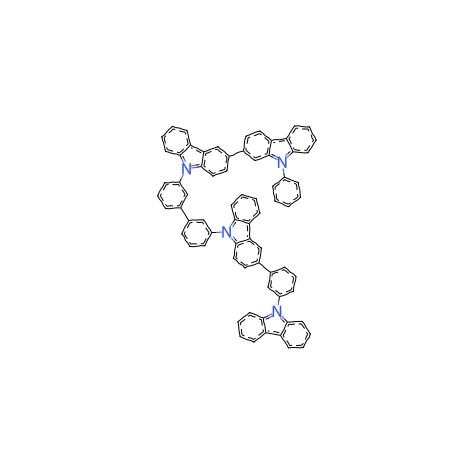 c1ccc(-n2c3ccccc3c3ccc(-c4ccc5c(c4)c4ccccc4n5-c4cccc(-c5cccc(-n6c7ccccc7c7cc(-c8cccc(-n9c%10ccccc%10c%10ccccc%109)c8)ccc76)c5)c4)cc32)cc1